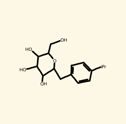 CC(C)c1ccc(CC2OC(CO)C(O)C(O)C2O)cc1